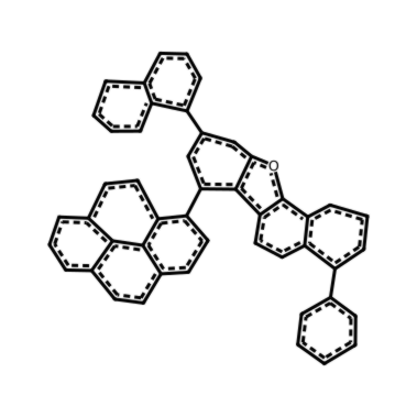 c1ccc(-c2cccc3c2ccc2c3oc3cc(-c4cccc5ccccc45)cc(-c4ccc5ccc6cccc7ccc4c5c67)c32)cc1